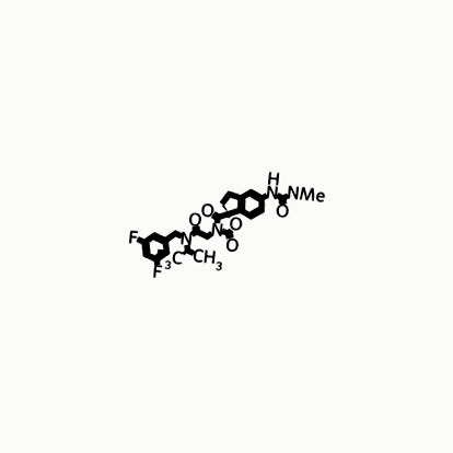 CNC(=O)Nc1ccc2c(c1)CC[C@@]21OC(=O)N(CC(=O)N(Cc2cc(F)cc(F)c2)[C@@H](C)C(F)(F)F)C1=O